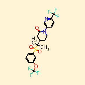 CC(C)([C@@H]1CCN(c2ccc(C(F)(F)F)nc2)C(=O)C1)S(=O)(=O)c1cccc(OC(F)(F)F)c1